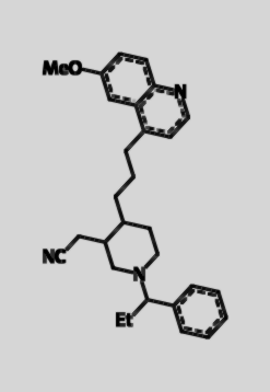 CCC(c1ccccc1)N1CCC(CCCc2ccnc3ccc(OC)cc23)C(CC#N)C1